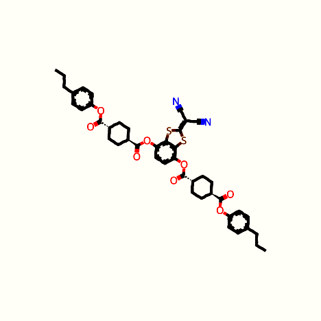 CCCc1ccc(OC(=O)[C@H]2CC[C@H](C(=O)Oc3ccc(OC(=O)[C@H]4CC[C@H](C(=O)Oc5ccc(CCC)cc5)CC4)c4c3SC(=C(C#N)C#N)S4)CC2)cc1